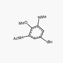 CNc1cc(C(C)(C)C)cc(NC(C)=O)c1OC